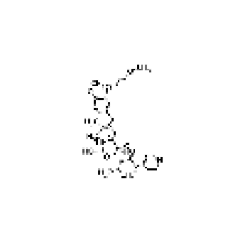 COCCCOc1cc(C[C@@H](C[C@H](NC(=O)O)[C@@H](O)C[C@H](C(=O)Nc2ccncc2)C(C)C)C(C)C)ccc1OC